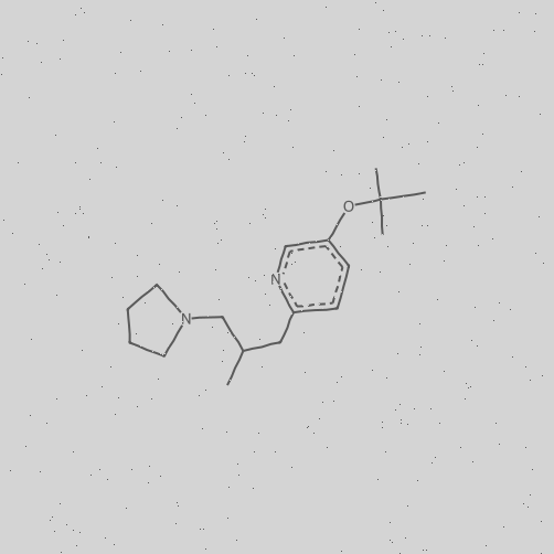 CC(Cc1ccc(OC(C)(C)C)cn1)CN1CCCC1